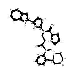 CN(C(=O)CCN(C(=O)c1cccs1)c1nc(-c2cc3ccccc3o2)cs1)c1ccccc1C1COCCO1